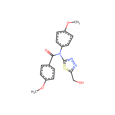 COc1ccc(C(=O)N(c2ccc(OC)cc2)c2nnc(CO)s2)cc1